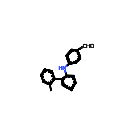 Cc1ccccc1-c1ccccc1Nc1ccc(C=O)cc1